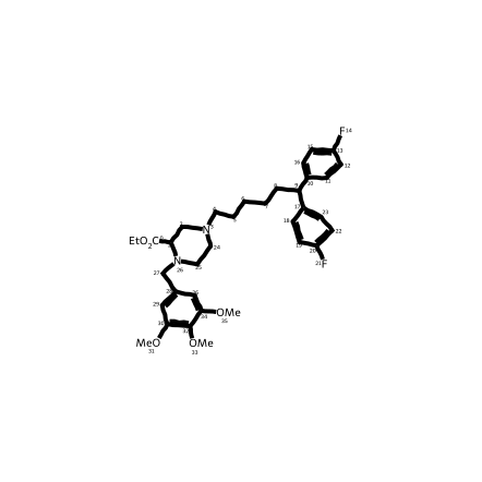 CCOC(=O)C1CN(CCCCCC(c2ccc(F)cc2)c2ccc(F)cc2)CCN1Cc1cc(OC)c(OC)c(OC)c1